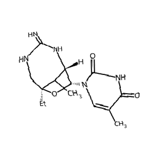 CC[C@]12CNC(=N)N[C@@H](C1C)[C@H](n1cc(C)c(=O)[nH]c1=O)O2